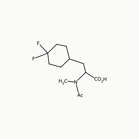 CC(=O)N(C)C(CC1CCC(F)(F)CC1)C(=O)O